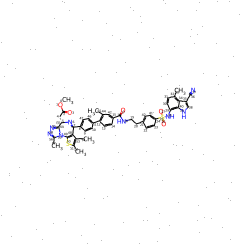 COC(=O)C[C@@H]1N=C(c2ccc(-c3ccc(C(=O)NCCc4ccc(S(=O)(=O)Nc5ccc(C)c6c(C#N)c[nH]c56)cc4)cc3C)cc2)c2c(sc(C)c2C)-n2c(C)nnc21